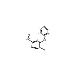 Cc1ccc(NCl)cc1Nc1ncccn1